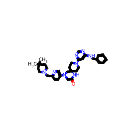 CC1(C)CCN(Cc2ccc(N3CC(=O)NC4(CCN(c5cc(NCc6ccccc6)ncn5)CC4)C3)cn2)CC1